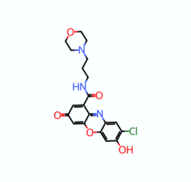 O=C(NCCCN1CCOCC1)c1cc(=O)cc2oc3cc(O)c(Cl)cc3nc1-2